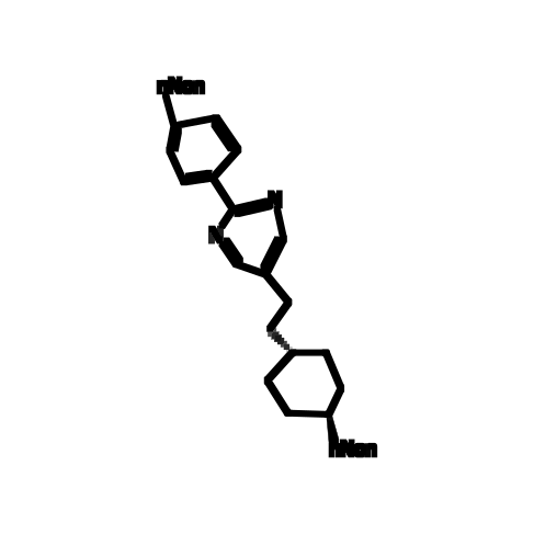 CCCCCCCCCc1ccc(-c2ncc(CC[C@H]3CC[C@H](CCCCCCCCC)CC3)cn2)cc1